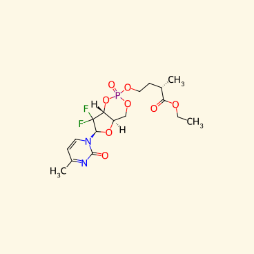 CCOC(=O)[C@@H](C)CCOP1(=O)OC[C@H]2O[C@@H](n3ccc(C)nc3=O)C(F)(F)[C@@H]2O1